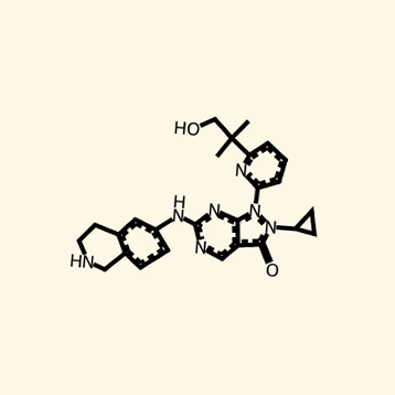 CC(C)(CO)c1cccc(-n2c3nc(Nc4ccc5c(c4)CCNC5)ncc3c(=O)n2C2CC2)n1